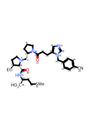 CC[C@H]1CCN(C[C@@H]2CCCN2C(=O)CCc2cncn2Cc2ccc(C#N)cc2)[C@@H]1C(=O)N[C@@H](CCSC)C(=O)O